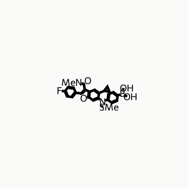 CNC(=O)c1c(-c2ccc(F)cc2)oc2cc(N(SC)c3ccc(B(O)O)cc3)c(C3CC3)cc12